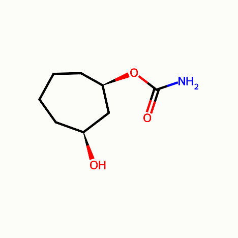 NC(=O)O[C@@H]1CCCC[C@H](O)C1